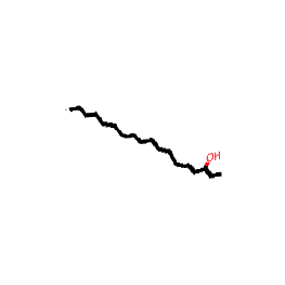 [CH2]CCCCCCCCCCCCCCC(O)CC